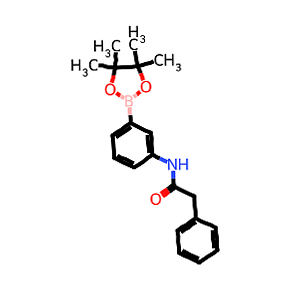 CC1(C)OB(c2cccc(NC(=O)Cc3ccccc3)c2)OC1(C)C